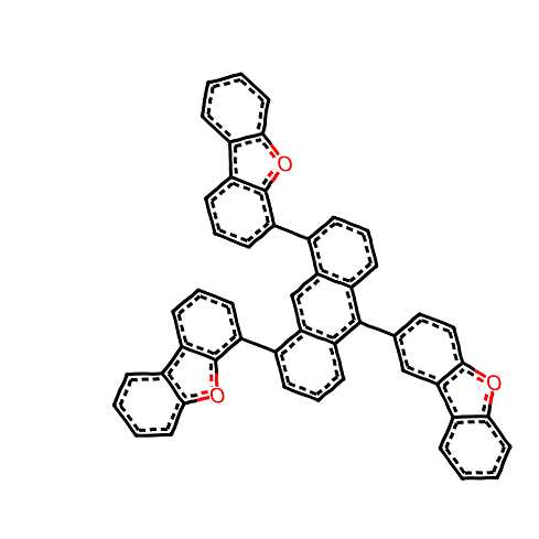 c1ccc2c(c1)oc1ccc(-c3c4cccc(-c5cccc6c5oc5ccccc56)c4cc4c(-c5cccc6c5oc5ccccc56)cccc34)cc12